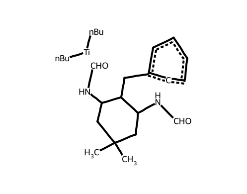 CC1(C)CC(NC=O)C(Cc2ccccc2)C(NC=O)C1.CCC[CH2][Ti][CH2]CCC